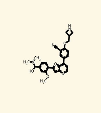 COc1cc(C(O)N(C)C)ccc1-c1cc2nccc(-c3ccc(OCC4CNC4)c(C#N)c3)c2o1